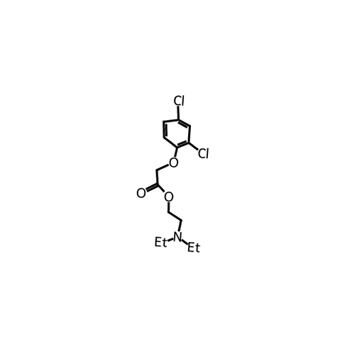 CCN(CC)CCOC(=O)COc1ccc(Cl)cc1Cl